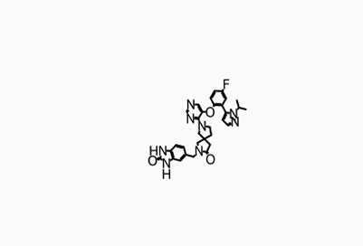 CC(C)n1nccc1-c1cc(F)ccc1Oc1cncnc1N1CCC2(CC(=O)N(Cc3ccc4[nH]c(=O)[nH]c4c3)C2)C1